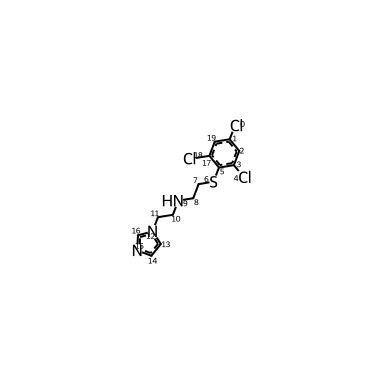 Clc1cc(Cl)c(SCCNCCn2ccnc2)c(Cl)c1